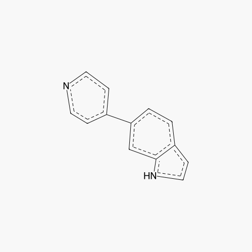 c1cc(-c2ccc3cc[nH]c3c2)ccn1